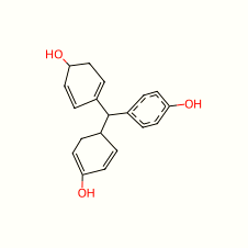 OC1=CCC(C(C2=CCC(O)C=C2)c2ccc(O)cc2)C=C1